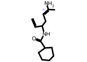 C=CC(C/C=C(\C)N)NC(=O)C1CCCCC1